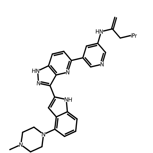 C=C(CC(C)C)Nc1cncc(-c2ccc3[nH]nc(-c4cc5c(N6CCN(C)CC6)cccc5[nH]4)c3n2)c1